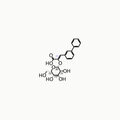 O=C(O)/C(=C/c1cccc(-c2ccccc2)c1)O[C@H]1O[C@@H](CO)[C@@H](O)[C@@H](O)[C@@H]1O